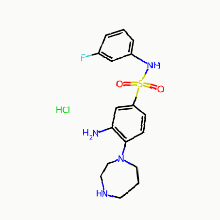 Cl.Nc1cc(S(=O)(=O)Nc2cccc(F)c2)ccc1N1CCCNCC1